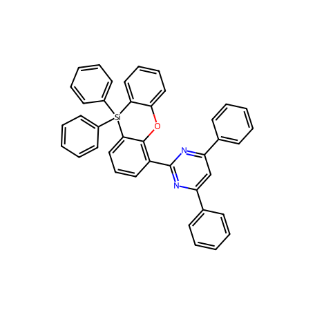 c1ccc(-c2cc(-c3ccccc3)nc(-c3cccc4c3Oc3ccccc3[Si]4(c3ccccc3)c3ccccc3)n2)cc1